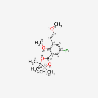 CO/C=C/c1cc(F)cc(B2OC(C)(C)C(C)(C)O2)c1OC